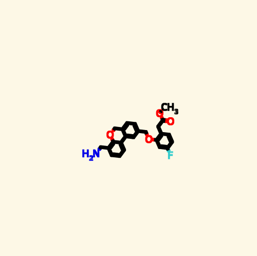 COC(=O)Cc1ccc(F)cc1OCc1ccc2c(c1)-c1cccc(CN)c1OC2